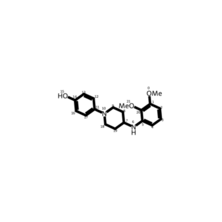 COc1cccc(NC2CCN(c3ccc(O)cc3)CC2)c1OC